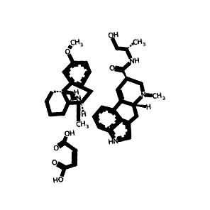 COc1ccc2c(c1)[C@]13CCCC[C@@H]1[C@H](C2)N(C)CC3.C[C@@H](CO)NC(=O)[C@@H]1C=C2c3cccc4[nH]cc(c34)C[C@H]2N(C)C1.O=C(O)/C=C\C(=O)O